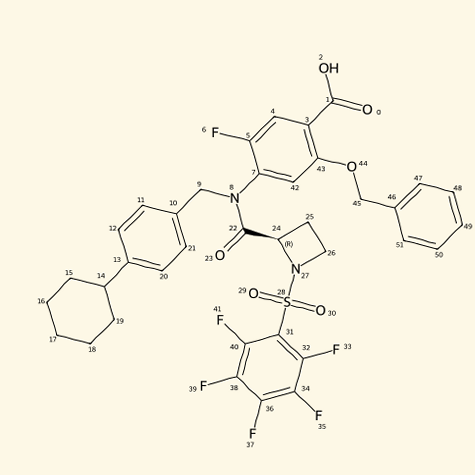 O=C(O)c1cc(F)c(N(Cc2ccc(C3CCCCC3)cc2)C(=O)[C@H]2CCN2S(=O)(=O)c2c(F)c(F)c(F)c(F)c2F)cc1OCc1ccccc1